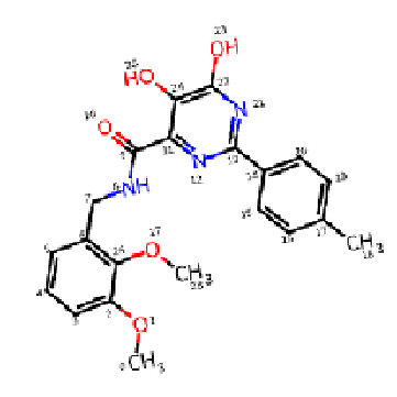 COc1cccc(CNC(=O)c2nc(-c3ccc(C)cc3)nc(O)c2O)c1OC